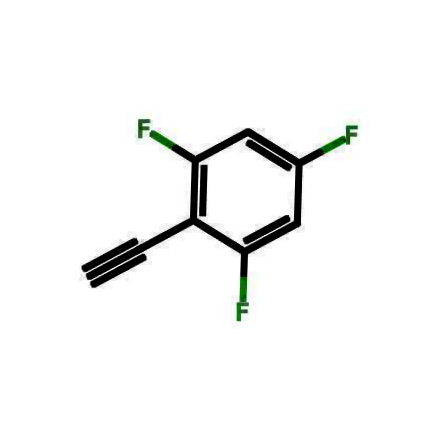 C#Cc1c(F)cc(F)cc1F